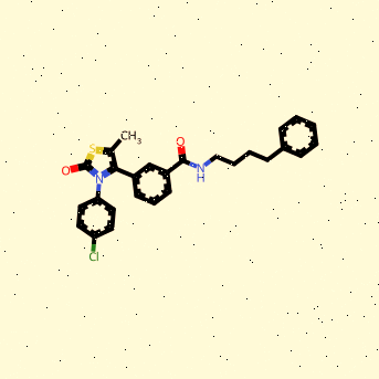 Cc1sc(=O)n(-c2ccc(Cl)cc2)c1-c1cccc(C(=O)NCCCCc2ccccc2)c1